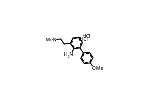 CNCCc1cccc(-c2ccc(OC)cc2)c1N.Cl.Cl